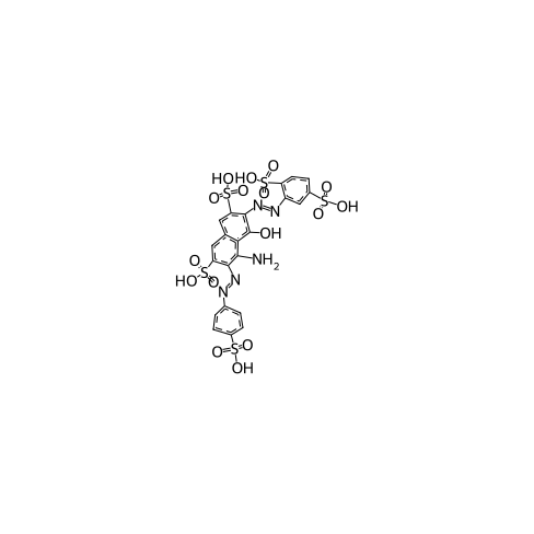 Nc1c(N=Nc2ccc(S(=O)(=O)O)cc2)c(S(=O)(=O)O)cc2cc(S(=O)(=O)O)c(N=Nc3cc(S(=O)(=O)O)ccc3S(=O)(=O)O)c(O)c12